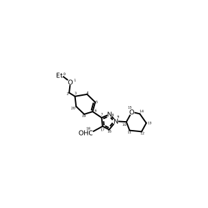 CCOCC1CC=C(c2nn(C3CCCCO3)cc2C=O)CC1